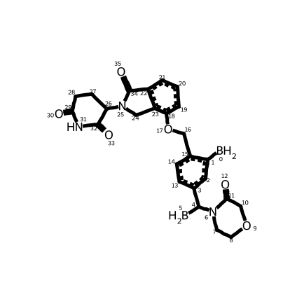 Bc1cc(C(B)N2CCOCC2=O)ccc1COc1cccc2c1CN(C1CCC(=O)NC1=O)C2=O